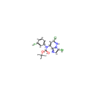 CC(C)(C)OC(=O)N(c1cccc(F)c1)c1cc(Cl)nn2c(Br)cnc12